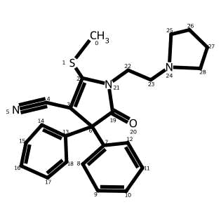 CSC1=C(C#N)C(c2ccccc2)(c2ccccc2)C(=O)N1CCN1CCCC1